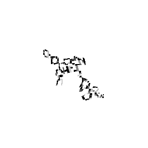 COC(=O)c1ccc(CCNc2cnnc3ccc(C(c4ccc(Cl)cc4)c4ccc(Cl)cc4)cc23)cc1